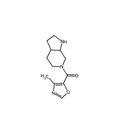 Cc1ncoc1C(=O)N1CCC2CCNC2C1